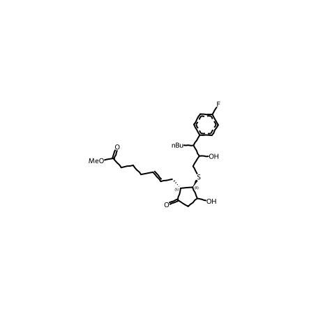 CCCCC(c1ccc(F)cc1)C(O)CS[C@H]1C(O)CC(=O)[C@@H]1CC=CCCCC(=O)OC